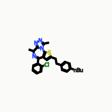 CCCCc1ccc(CCc2cc3c(s2)-n2c(C)nnc2C(C)N=C3c2ccccc2Cl)cc1